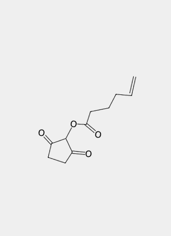 C=CCCCC(=O)OC1C(=O)CCC1=O